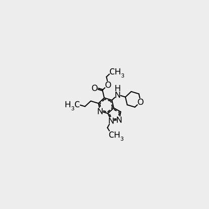 CCCc1nc2c(cnn2CC)c(NC2CCOCC2)c1C(=O)OCC